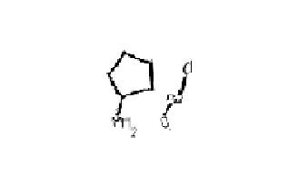 PC1CCCC1.[Cl][Pd][Cl]